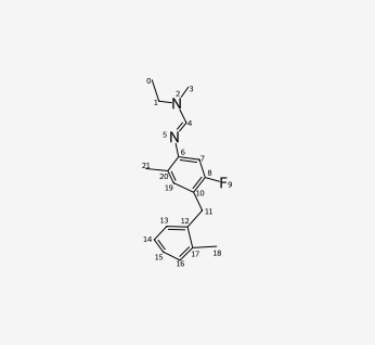 CCN(C)C=Nc1cc(F)c(Cc2ccccc2C)cc1C